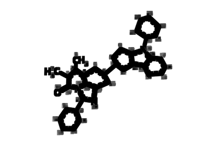 Cc1c(C)c2cc(-c3ccc4c(c3)c3ccccc3n4-c3ccccc3)cc3nc(-c4ccccc4)n(c1=O)c32